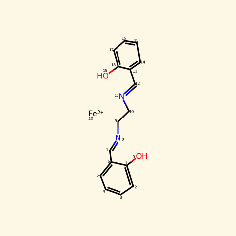 Oc1ccccc1C=NCCN=Cc1ccccc1O.[Fe+2]